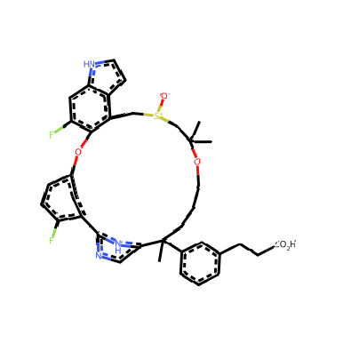 CC1(C)C[S+]([O-])Cc2c(c(F)cc3[nH]ccc23)Oc2ccc(F)c(c2)-c2ncc([nH]2)C(C)(c2cccc(CCC(=O)O)c2)CCCO1